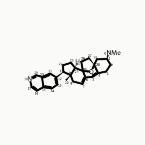 CN[C@H]1CCC2=CC3=CC[C@]4(C)[C@@H](c5ccc6ccncc6c5)CC[C@H]4C34CC[C@]2(C1)O4